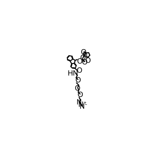 [N-]=[N+]=NCCOCCOCCOCCNC(=O)c1ccc2c(c1)C(COC(=O)ON1C(=O)CCC1=O)c1ccccc1-2